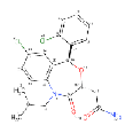 CC(C)CN1C(=O)[C@@H](CC(N)=O)O[C@H](c2ccccc2Cl)c2cc(Cl)ccc21